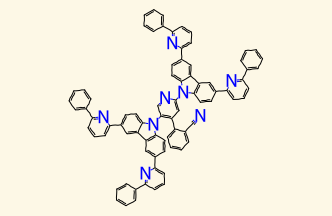 N#Cc1ccccc1-c1cc(-n2c3ccc(-c4cccc(-c5ccccc5)n4)cc3c3cc(-c4cccc(-c5ccccc5)n4)ccc32)ncc1-n1c2ccc(-c3cccc(-c4ccccc4)n3)cc2c2cc(-c3cccc(-c4ccccc4)n3)ccc21